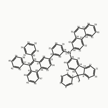 CC1(c2ccccc2)c2ccccc2-c2cc(N(c3cccc(-c4ccc5c(c4)c(-c4ccccc4)c(-c4ccccc4)c4ccccc45)c3)c3ccc4c(ccc5ccccc54)c3)ccc21